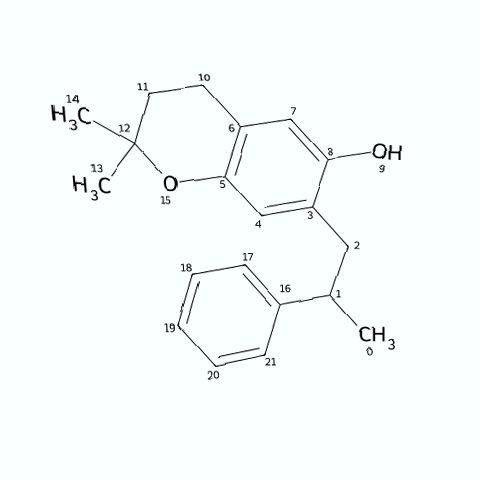 CC(Cc1cc2c(cc1O)CCC(C)(C)O2)c1ccccc1